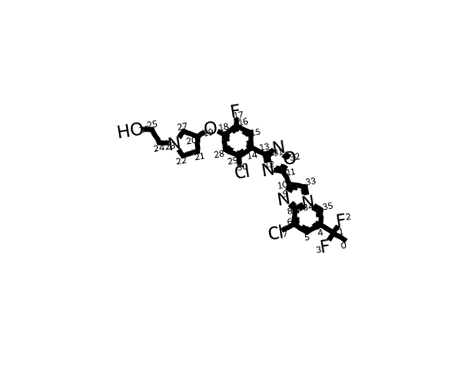 CC(F)(F)c1cc(Cl)c2nc(-c3nc(-c4cc(F)c(OC5CCN(CCO)C5)cc4Cl)no3)cn2c1